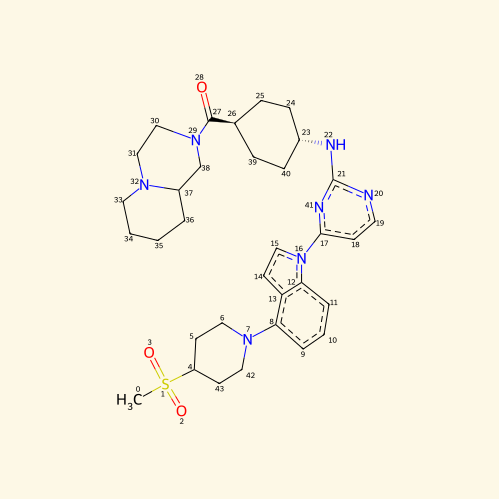 CS(=O)(=O)C1CCN(c2cccc3c2ccn3-c2ccnc(N[C@H]3CC[C@H](C(=O)N4CCN5CCCCC5C4)CC3)n2)CC1